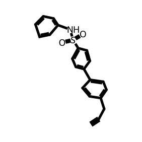 C#CCc1ccc(-c2ccc(S(=O)(=O)Nc3ccccc3)cc2)cc1